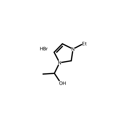 Br.CCN1C=CN(C(C)O)C1